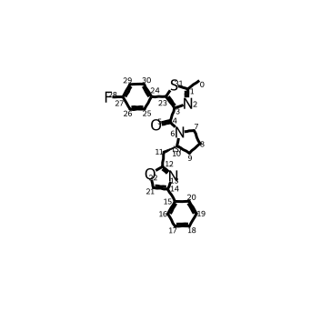 Cc1nc(C(=O)N2CCC[C@H]2Cc2nc(-c3ccccc3)co2)c(-c2ccc(F)cc2)s1